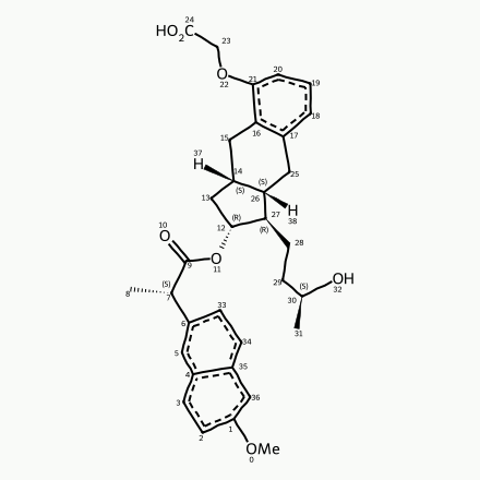 COc1ccc2cc([C@H](C)C(=O)O[C@@H]3C[C@@H]4Cc5c(cccc5OCC(=O)O)C[C@@H]4[C@H]3CC[C@H](C)O)ccc2c1